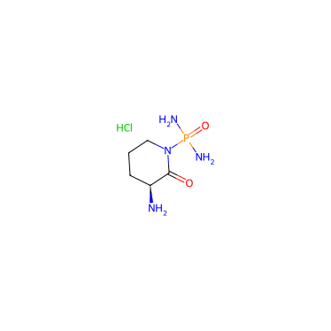 Cl.N[C@H]1CCCN(P(N)(N)=O)C1=O